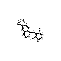 COc1ccc2c(Cc3c(Cl)cncc3Cl)nncc2c1